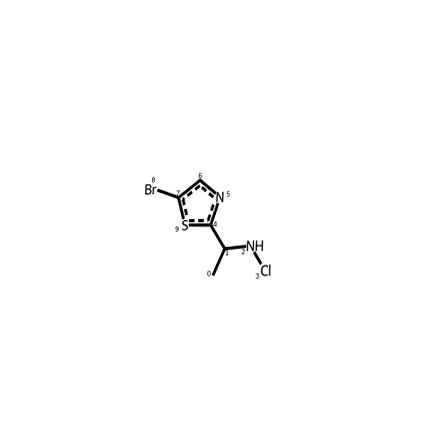 CC(NCl)c1ncc(Br)s1